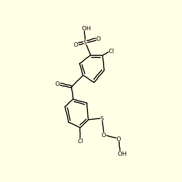 O=C(c1ccc(Cl)c(SOOO)c1)c1ccc(Cl)c(S(=O)(=O)O)c1